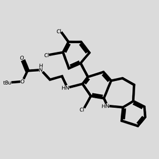 CC(C)(C)OC(=O)NCCNc1c(-c2ccc(Cl)c(Cl)c2)cc2c(c1Cl)Nc1ccccc1CC2